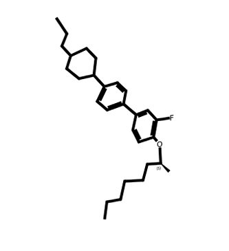 CCCCCC[C@H](C)Oc1ccc(-c2ccc(C3CCC(CCC)CC3)cc2)cc1F